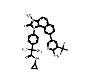 Cn1c(=O)n(-c2ccc(C(C)(C)C(=O)NC3CC3)cc2)c2c3cc(-c4cnc(N)c(C(F)(F)F)c4)ccc3ncc21